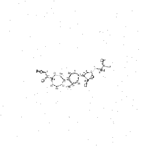 CC(=O)NC[C@H]1CN(c2ccc(C3CCCN(C(=O)CO)CC3)c(F)c2)C(=O)O1